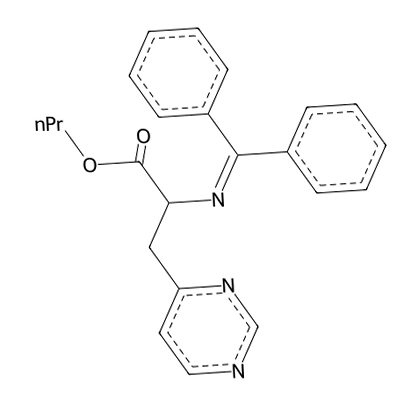 CCCOC(=O)C(Cc1ccncn1)N=C(c1ccccc1)c1ccccc1